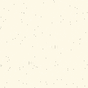 CC(C#CO)(c1ccccc1)c1ccccc1